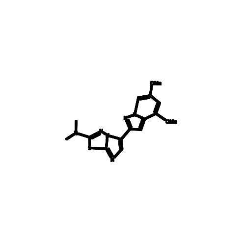 COc1cc(OC)c2cc(-c3cnc4sc(N(C)C)nn34)nn2c1